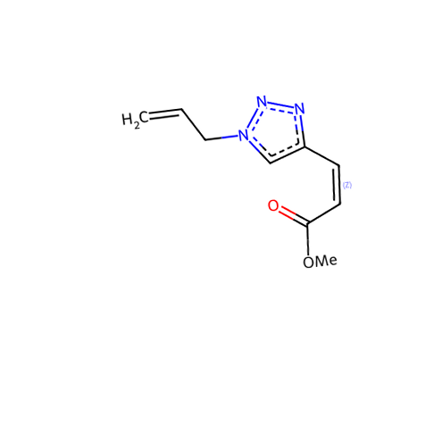 C=CCn1cc(/C=C\C(=O)OC)nn1